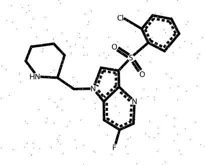 O=S(=O)(c1ccccc1Cl)c1cn(CC2CCCCN2)c2cc(F)cnc12